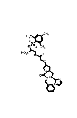 Cc1cc(C)c(S(=O)(=O)NC(CNC(=O)COC2CC(CNC3N=CC=N3)N(C(=O)OCc3ccccc3)C2)C(=O)O)c(C)c1